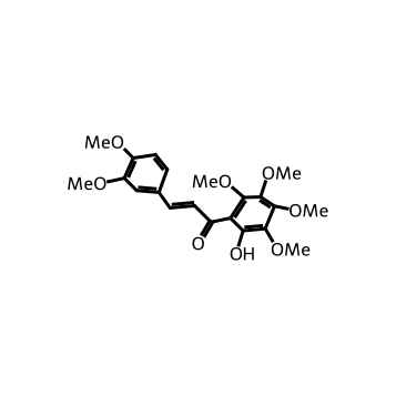 COc1ccc(/C=C/C(=O)c2c(O)c(OC)c(OC)c(OC)c2OC)cc1OC